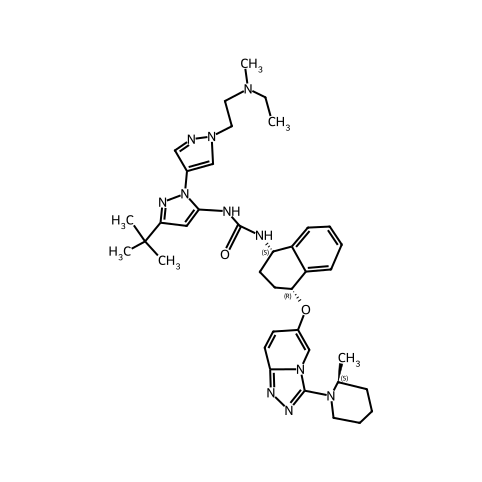 CCN(C)CCn1cc(-n2nc(C(C)(C)C)cc2NC(=O)N[C@H]2CC[C@@H](Oc3ccc4nnc(N5CCCC[C@@H]5C)n4c3)c3ccccc32)cn1